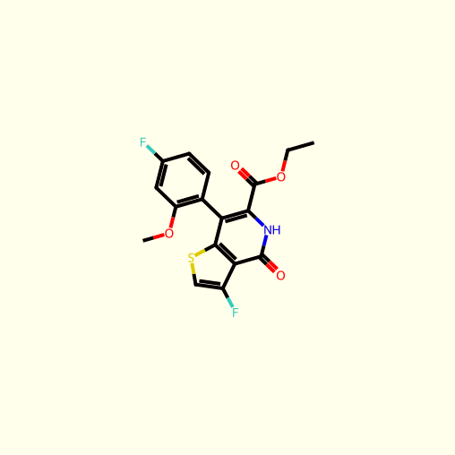 CCOC(=O)c1[nH]c(=O)c2c(F)csc2c1-c1ccc(F)cc1OC